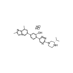 Cc1cn2cc(-c3ccc(-c4cnc(N5CCN[C@@H](C(C)C)C5)nn4)c(O)c3)cc(C)c2n1.Cl.Cl